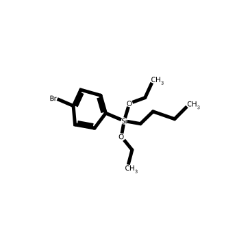 CCCC[Si](OCC)(OCC)c1ccc(Br)cc1